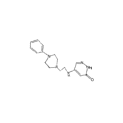 O=c1cc(NCCN2CCN(c3ccccc3)CC2)cn[nH]1